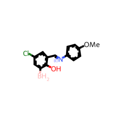 Bc1cc(Cl)cc(/C=N/c2ccc(OC)cc2)c1O